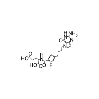 Nc1nc2ccn(CCCCc3ccc(C(=O)NC(CCC(=O)O)C(=O)O)c(F)c3)c2c(=O)[nH]1